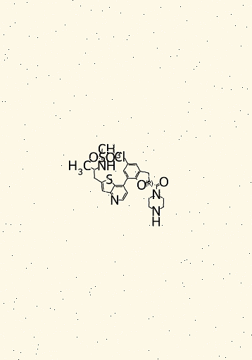 CC(Cc1cc2nccc(-c3cc(Cl)cc4c3O[C@@H](C(=O)N3CCNCC3)C4)c2s1)NS(C)(=O)=O